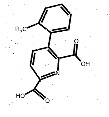 Cc1ccccc1-c1ccc(C(=O)O)nc1C(=O)O